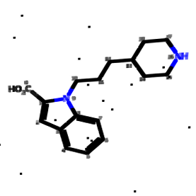 O=C(O)c1cc2ccccc2n1CCCC1CCNCC1